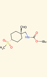 CC(C)(C)OC(=O)NC[C@]1(C=O)CC[C@H](S(C)(=O)=O)CC1